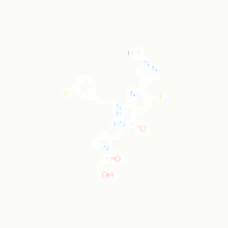 Cn1cc(-c2nc(NCCc3cccc(F)c3)c(C(=O)NC[C@H]3CCN3C(=O)CO)cc2F)cn1